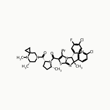 CC(C)C1=C(C(=O)N2[C@H](C)CC[C@@H]2C(=O)N2C[C@H](C)N(C)C3(CC3)C2)SC2=N[C@@](C)(c3ccc(Cl)nc3)[C@@H](c3ccc(Cl)c(F)c3)N21